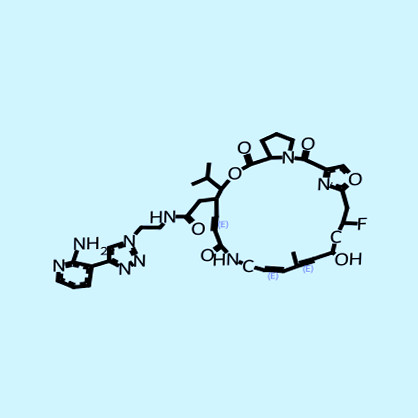 CC1=C\C(O)CC(F)Cc2nc(co2)C(=O)N2CCCC2C(=O)OC(C(C)C)C(CC(=O)NCCn2cc(-c3cccnc3N)nn2)/C=C/C(=O)NC\C=C\1